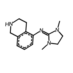 CN1CCN(C)C1=Nc1cccc2c1CCNC2